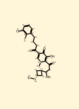 CCCC1CC(=O)c2c(O)c(=O)c(C(=O)CCCc3cccc(Cl)c3F)cn2C[C@]12C[C@@H](OCC)C2